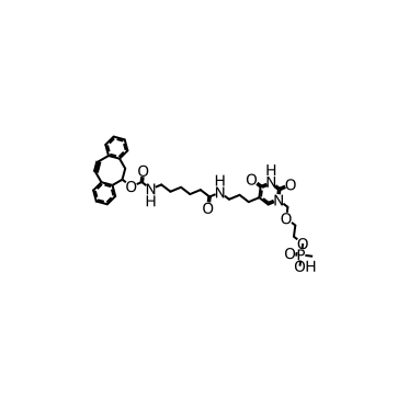 CP(=O)(O)OCCOCn1cc(CCCNC(=O)CCCCCNC(=O)OC2Cc3ccccc3C#Cc3ccccc32)c(=O)[nH]c1=O